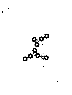 c1ccc(-c2ccc(-n3c4ccccc4c4cc(-c5ccc6c(c5)c5cc(-c7nc8ccccc8o7)ccc5n6-c5ccc(-c6ccccc6)cc5)ccc43)cc2)cc1